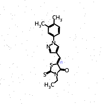 CCN1C(=O)/C(=C/c2cnn(-c3ccc(C)c(C)c3)c2)SC1=S